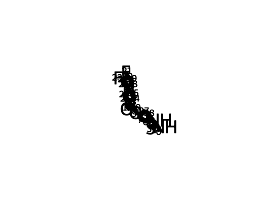 CNC(=S)Nc1ccc(OCC(=O)N2CCN(c3ccc(F)c(F)c3)CC2)cc1